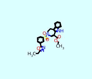 CCOC(=O)C1=CN(S(=O)(=O)c2cccc(-c3nnc(CC)o3)c2)CCc2c1[nH]c1ccccc21